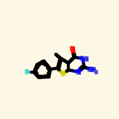 CC1=C(c2ccc(F)cc2)SC2N=C(N)NC(=O)C12